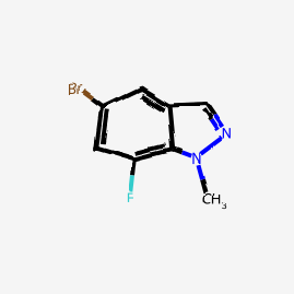 Cn1ncc2cc(Br)cc(F)c21